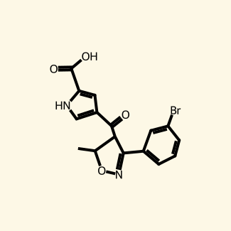 CC1ON=C(c2cccc(Br)c2)C1C(=O)c1c[nH]c(C(=O)O)c1